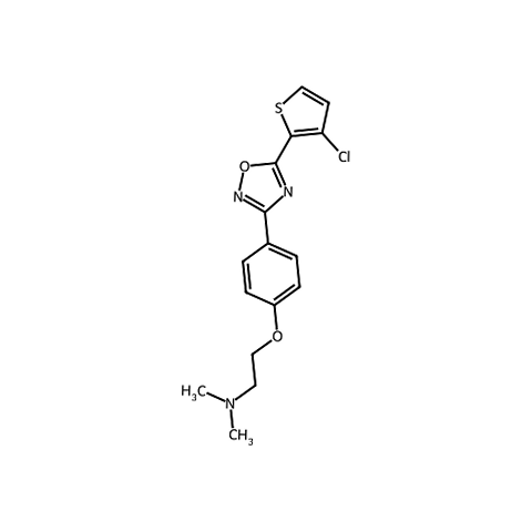 CN(C)CCOc1ccc(-c2noc(-c3sccc3Cl)n2)cc1